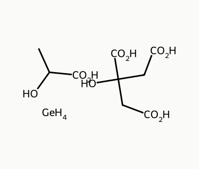 CC(O)C(=O)O.O=C(O)CC(O)(CC(=O)O)C(=O)O.[GeH4]